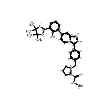 Cc1c(B2OC(C)(C)C(C)(C)O2)cccc1-c1ccn2c(-c3ccc(CN4CCC[C@@H]4C(=O)OC(C)(C)C)cc3)nnc2c1